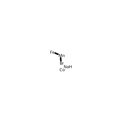 [Co].[Fe][Mn][Br].[NaH]